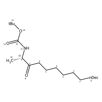 CCCCCCCCCCCCCCCCC(=O)[C@H](C)NC(=O)OC(C)(C)C